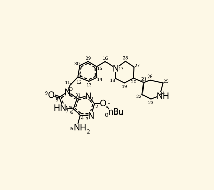 CCCCOc1nc(N)c2[nH]c(=O)n(Cc3ccc(CN4CCC(C5CCNCC5)CC4)cc3)c2n1